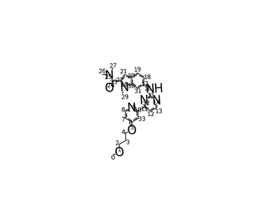 COCCCOc1ccnc(-c2ccnc(Nc3ccc4cc(C(=O)N(C)C)n(C)c4c3)n2)c1